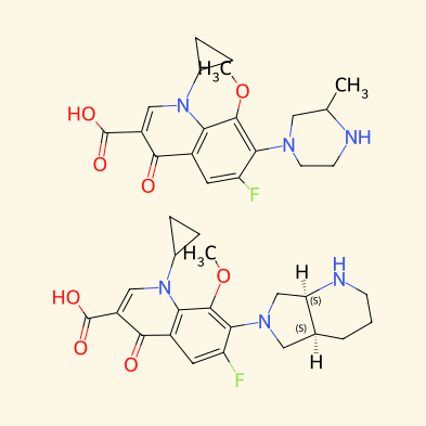 COc1c(N2CCNC(C)C2)c(F)cc2c(=O)c(C(=O)O)cn(C3CC3)c12.COc1c(N2C[C@@H]3CCCN[C@@H]3C2)c(F)cc2c(=O)c(C(=O)O)cn(C3CC3)c12